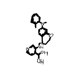 Cc1ccccc1N(C)c1ccc2c(c1)OCC[C@H]2CNc1cnccc1C(O)O